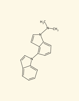 CN(C)n1ccc2c(-n3ccc4ccccc43)cccc21